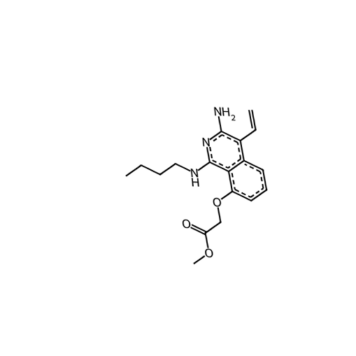 C=Cc1c(N)nc(NCCCC)c2c(OCC(=O)OC)cccc12